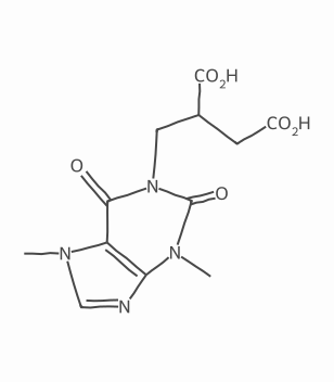 Cn1cnc2c1c(=O)n(CC(CC(=O)O)C(=O)O)c(=O)n2C